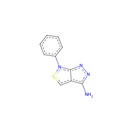 Nc1nnc2n(-c3ccccc3)scc1-2